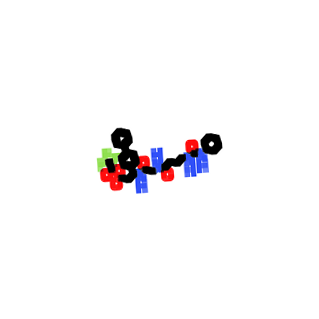 O=C(CCCNC(=O)NC1CCCCC1)NCC(=O)NC(CC(=O)OC(=O)C(F)(F)F)c1ccc(-c2ccccc2)cc1